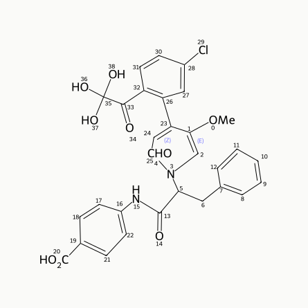 COC(=C/N(C)C(Cc1ccccc1)C(=O)Nc1ccc(C(=O)O)cc1)/C(=C\C=O)c1cc(Cl)ccc1C(=O)C(O)(O)O